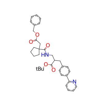 CC(C)(C)OC(=O)C(CNC(=O)C1(CC(=O)OCc2ccccc2)CCCC1)Cc1ccc(-c2ccccn2)cc1